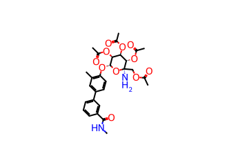 CNC(=O)c1cccc(-c2ccc(O[C@H]3O[C@](N)(COC(C)=O)[C@@H](OC(C)=O)[C@H](OC(C)=O)[C@@H]3OC(C)=O)c(C)c2)c1